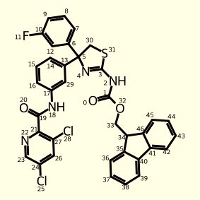 O=C(NC1=NC(c2cccc(F)c2)(c2cccc(NC(=O)c3ncc(Cl)cc3Cl)c2)CS1)OCC1c2ccccc2-c2ccccc21